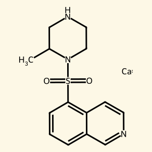 CC1CNCCN1S(=O)(=O)c1cccc2cnccc12.[Ca]